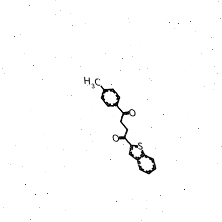 Cc1ccc(C(=O)CCC(=O)c2cc3ccccc3s2)cc1